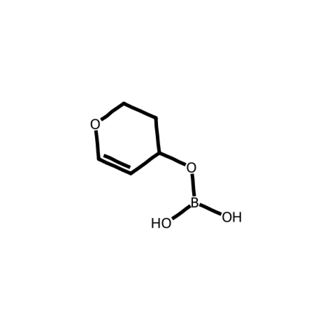 OB(O)OC1C=COCC1